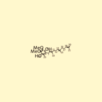 COC1=C(OC)C(O)C(C/C=C(\C)CC/C=C(\C)CCC=C(C)C)C(C)C1O